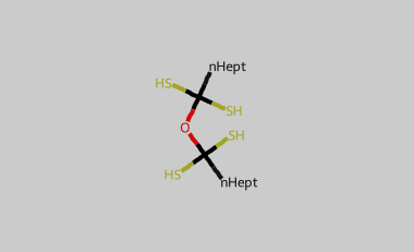 CCCCCCCC(S)(S)OC(S)(S)CCCCCCC